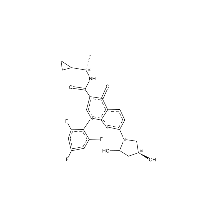 C[C@H](NC(=O)c1cn(-c2c(F)cc(F)cc2F)c2nc(N3C[C@@H](O)CC3O)ccc2c1=O)C1CC1